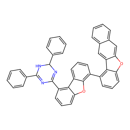 c1ccc(C2=NC(c3cccc4oc5c(-c6cccc7oc8cc9ccccc9cc8c67)cccc5c34)=NC(c3ccccc3)N2)cc1